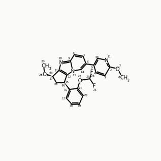 COc1ccc(-c2ccc3nc4c(n3c2)[C@@H](c2ccccc2OC(F)F)C[C@H]4OC)cn1